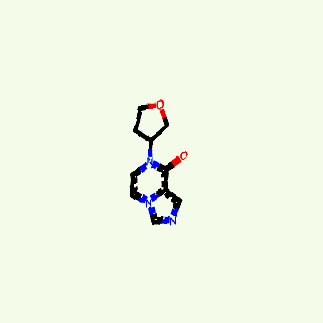 O=c1c2cncn2ccn1C1CCOC1